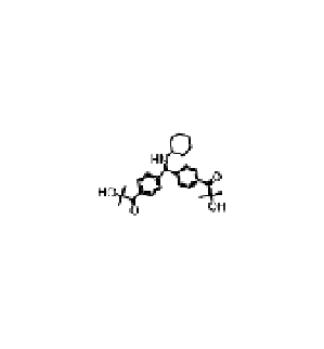 CC(C)(O)C(=O)c1ccc(C(NC2CCCCC2)c2ccc(C(=O)C(C)(C)O)cc2)cc1